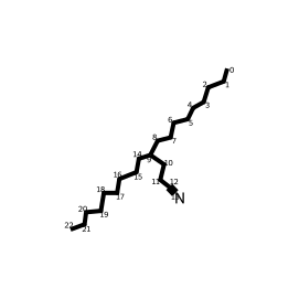 CCCCCCCCCC(CCC#N)CCCCCCCCC